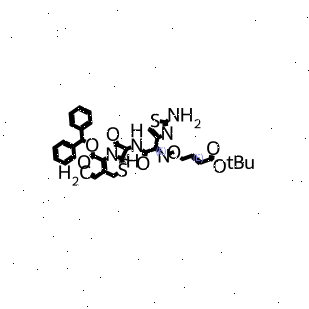 C=CC1=C(C(=O)OC(c2ccccc2)c2ccccc2)N2C(=O)C(NC(=O)/C(=N/OC/C=C/C(=O)OC(C)(C)C)c3csc(N)n3)[C@H]2SC1